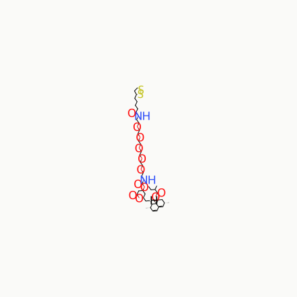 CCC(C)C(=O)O[C@@H]1C[C@H](C)C=C2C=C[C@H](C)[C@H](CCC3CC(OC(=O)NCCOCCOCCOCCOCCOCCNC(=O)CCCCC4CCSS4)CC(=O)O3)[C@@H]21